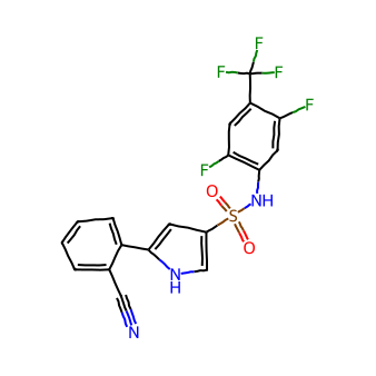 N#Cc1ccccc1-c1cc(S(=O)(=O)Nc2cc(F)c(C(F)(F)F)cc2F)c[nH]1